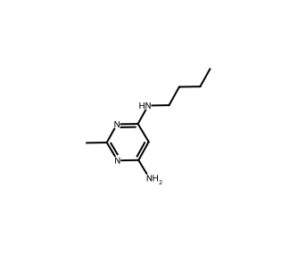 CCCCNc1cc(N)nc(C)n1